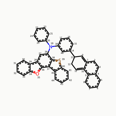 C1=c2ccc3ccccc3c2=CCC1c1cccc(N(c2ccccc2)c2cc3c4ccccc4oc3c3c2sc2ccccc23)c1